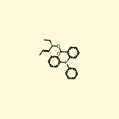 C/C=C/[C@@H](CC)OC(=O)c1ccccc1P(c1ccccc1)c1ccccc1